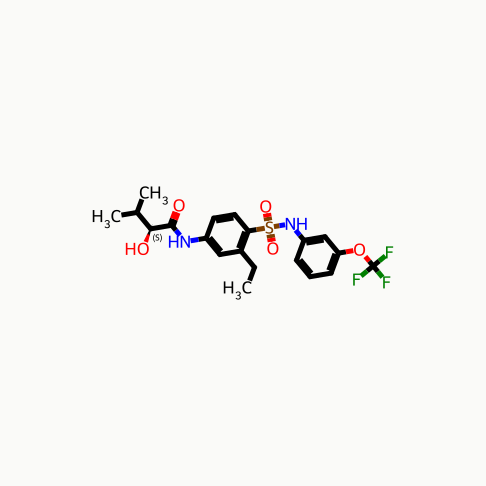 CCc1cc(NC(=O)[C@@H](O)C(C)C)ccc1S(=O)(=O)Nc1cccc(OC(F)(F)F)c1